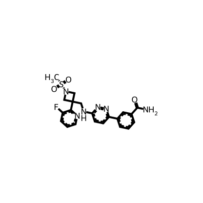 CS(=O)(=O)N1CC(CNc2ccc(-c3cccc(C(N)=O)c3)nn2)(c2ncccc2F)C1